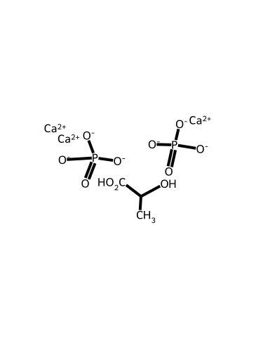 CC(O)C(=O)O.O=P([O-])([O-])[O-].O=P([O-])([O-])[O-].[Ca+2].[Ca+2].[Ca+2]